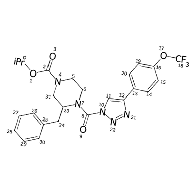 CC(C)OC(=O)N1CCN(C(=O)n2cc(-c3ccc(OC(F)(F)F)cc3)nn2)C(Cc2ccccc2)C1